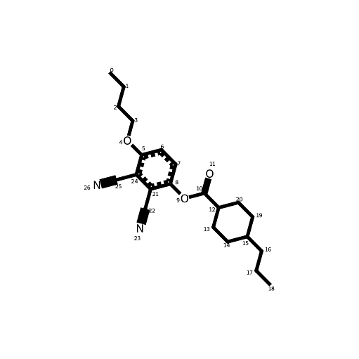 CCCCOc1ccc(OC(=O)C2CCC(CCC)CC2)c(C#N)c1C#N